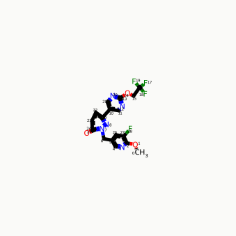 COc1ncc(Cn2nc(-c3cnc(OCC(F)(F)F)nc3)ccc2=O)cc1F